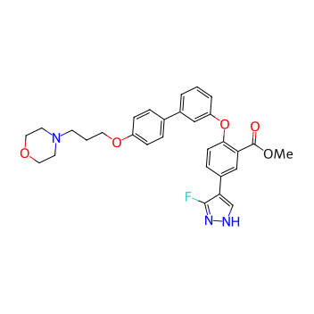 COC(=O)c1cc(-c2c[nH]nc2F)ccc1Oc1cccc(-c2ccc(OCCCN3CCOCC3)cc2)c1